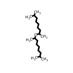 CC(C)CCCCCC(C)OC(C)CCCCCC(C)C